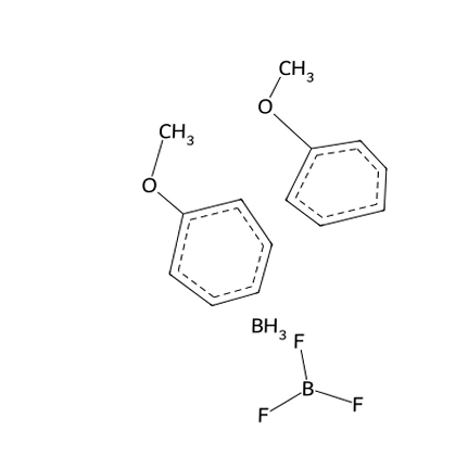 B.COc1ccccc1.COc1ccccc1.FB(F)F